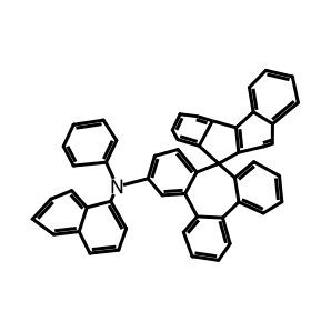 c1ccc(N(c2ccc3c(c2)-c2ccccc2-c2ccccc2C32c3ccccc3-c3c2ccc2ccccc32)c2cccc3ccccc23)cc1